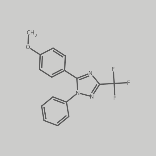 COc1ccc(-c2nc(C(F)(F)F)nn2-c2ccccc2)cc1